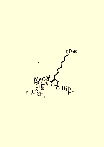 CCCCCCCCCCCCCCCCCCC1=C(P(=O)(OC)OC(O)C[N+](C)(C)C)OC(=O)C1.[H+].[H+].[H+].[H+]